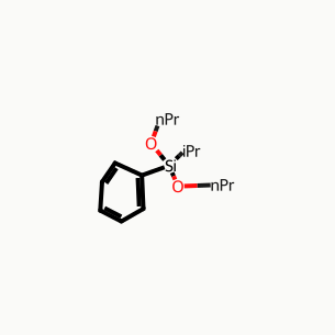 CCCO[Si](OCCC)(c1ccccc1)C(C)C